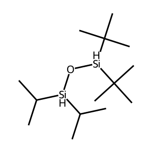 CC(C)[SiH](O[SiH](C(C)(C)C)C(C)(C)C)C(C)C